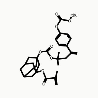 C=C(C)C(=O)OC12CC3CC(CC(OC(=O)OC(C)(C)CC(=C)c4ccc(OC(=O)OC(C)(C)C)cc4)(C3)C1)C2